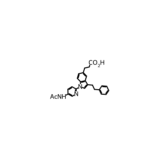 CC(=O)Nc1ccc(-n2cc(CCc3ccccc3)c3cc(CCC(=O)O)ccc32)nc1